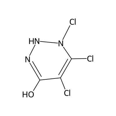 OC1=NNN(Cl)C(Cl)=C1Cl